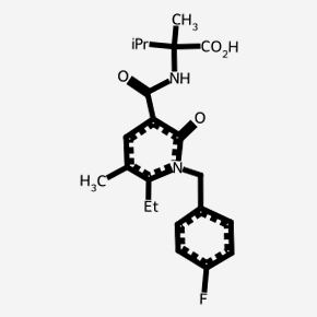 CCc1c(C)cc(C(=O)NC(C)(C(=O)O)C(C)C)c(=O)n1Cc1ccc(F)cc1